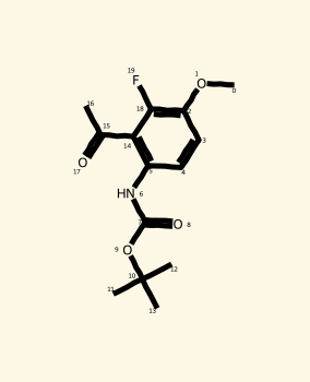 COc1ccc(NC(=O)OC(C)(C)C)c(C(C)=O)c1F